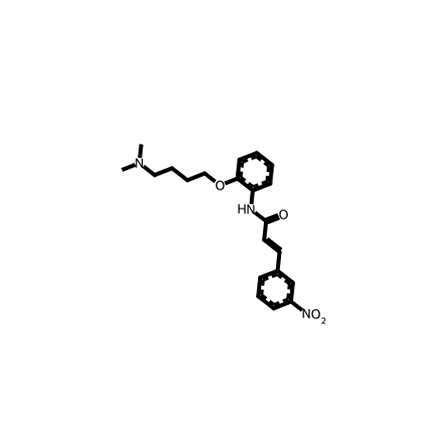 CN(C)CCCCOc1ccccc1NC(=O)C=Cc1cccc([N+](=O)[O-])c1